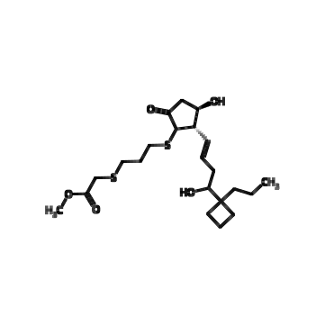 CCCC1(C(O)CC=C[C@@H]2C(SCCCSCC(=O)OC)C(=O)C[C@H]2O)CCC1